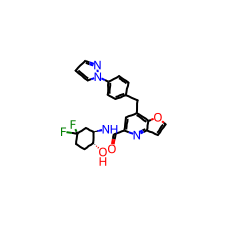 O=C(N[C@@H]1CC(F)(F)CC[C@H]1O)c1cc(Cc2ccc(-n3cccn3)cc2)c2occc2n1